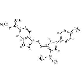 CCN(C)c1ccc2c(CCc3sc(-c4ccc(C)cc4)nc3C(C)C)noc2c1